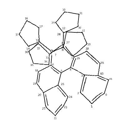 c1ccc2c(-c3c(P(C4CCCC4)C4CCCC4)ccc4ccccc34)c(P(C3CCCC3)C3CCCC3)ccc2c1